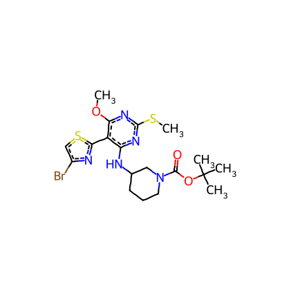 COc1nc(SC)nc(NC2CCCN(C(=O)OC(C)(C)C)C2)c1-c1nc(Br)cs1